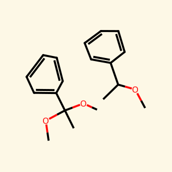 COC(C)(OC)c1ccccc1.COC(C)c1ccccc1